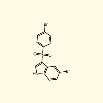 O=S(=O)(c1ccc(Br)cc1)c1c[nH]c2ccc(Br)cc12